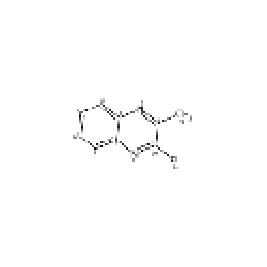 Cc1nc2ccccc2nc1Cl